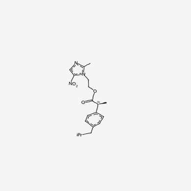 Cc1ncc([N+](=O)[O-])n1CCOC(=O)[C@@H](C)c1ccc(CC(C)C)cc1